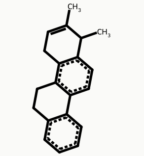 CC1=CCc2c(ccc3c2CCc2ccccc2-3)C1C